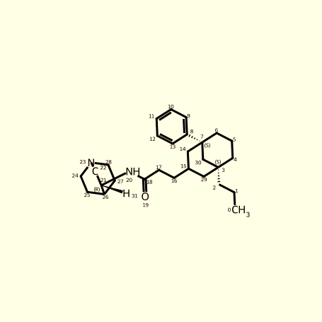 CCC[C@]12CCC[C@](c3ccccc3)(CC(CCC(=O)N[C@H]3CN4CCC3CC4)C1)C2